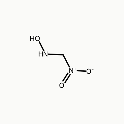 O=[N+]([O-])CNO